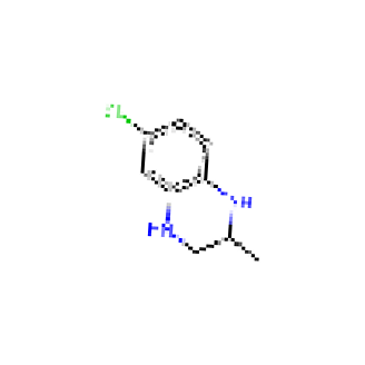 CC1CNc2cc(Cl)ccc2N1